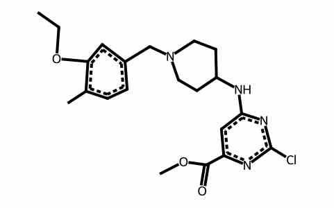 CCOc1cc(CN2CCC(Nc3cc(C(=O)OC)nc(Cl)n3)CC2)ccc1C